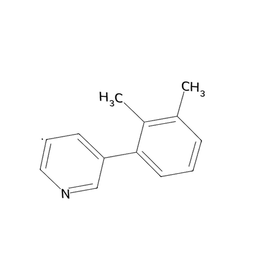 Cc1cccc(-c2c[c]cnc2)c1C